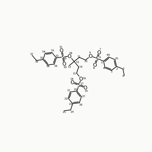 CCc1ccc(S(=O)(=O)OCCC(C)(CCOS(=O)(=O)c2ccc(CC)cc2)OS(=O)(=O)c2ccc(CC)cc2)cc1